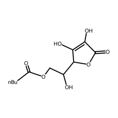 CCCCC(=O)OCC(O)C1OC(=O)C(O)=C1O